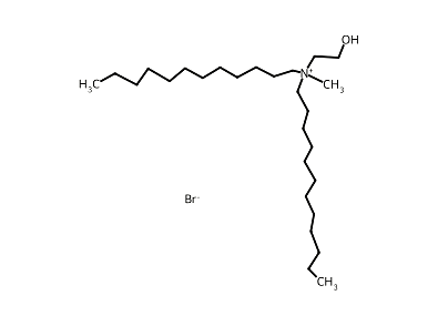 CCCCCCCCCCCC[N+](C)(CCO)CCCCCCCCCCCC.[Br-]